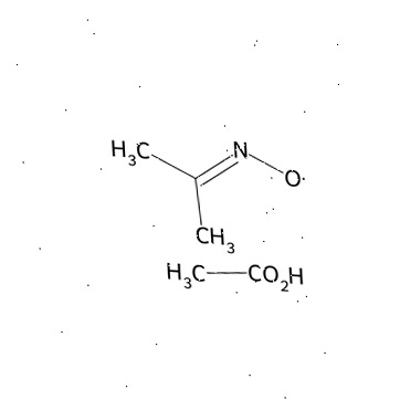 CC(=O)O.CC(C)=N[O]